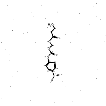 CCCC(=O)OCOC(=O)Oc1ccc([N+](=O)[O-])cc1